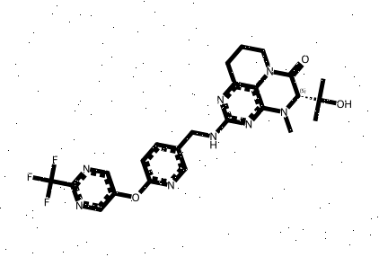 CN1c2nc(NCc3ccc(Oc4cnc(C(F)(F)F)nc4)nc3)nc3c2N(CCC3)C(=O)[C@@H]1C(C)(C)O